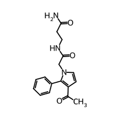 CC(=O)c1ccn(CC(=O)NCCC(N)=O)c1-c1ccccc1